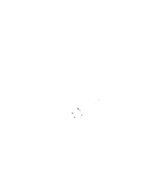 CC1COCCC1NC1CCC(C(=O)N2CCN(c3nccc(C(F)(F)F)n3)CC2)C1